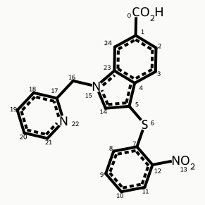 O=C(O)c1ccc2c(Sc3ccccc3[N+](=O)[O-])cn(Cc3ccccn3)c2c1